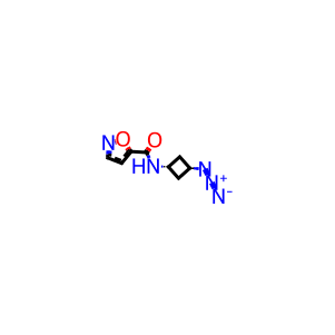 [N-]=[N+]=N[C@H]1C[C@H](NC(=O)c2ccno2)C1